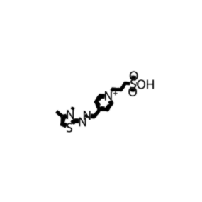 Cc1csc(=NN=Cc2cc[n+](CCCS(=O)(=O)O)cc2)n1C